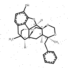 CN1CC[C@]23c4c5ccc(O)c4O[C@H]2[C@@]24CC[C@@]3(C[C@@H]2[C@](C)(Cc2ccccc2)OCO4)[C@H]1C5